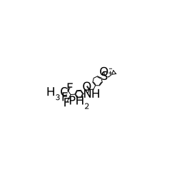 CC(F)C(c1ccc(NC(=O)CC2=CCC=C([S+]([O-])CC3CC3)C=C2)cc1)C(F)(F)P